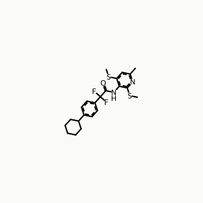 CSc1cc(C)nc(SC)c1NC(=O)C(F)(F)c1ccc(C2CCCCC2)cc1